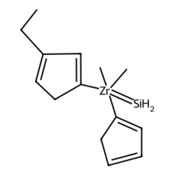 CCC1=CC[C]([Zr]([CH3])([CH3])(=[SiH2])[C]2=CC=CC2)=C1